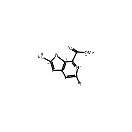 COC(=O)c1nc(Br)cc2cc(C#N)oc12